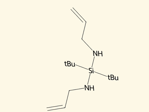 C=CCN[Si](NCC=C)(C(C)(C)C)C(C)(C)C